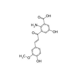 COc1cc(C=CC(=O)c2cc(O)cc(C(=O)O)c2N)ccc1O